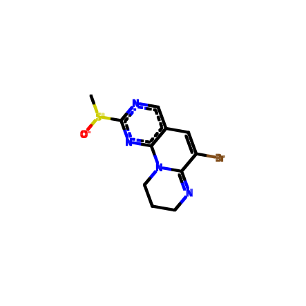 C[S+]([O-])c1ncc2c(n1)N1CCCN=C1C(Br)=C2